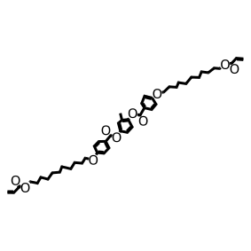 C=CC(=O)OCCCCCCCCCCCOc1ccc(C(=O)Oc2ccc(OC(=O)c3ccc(OCCCCCCCCCCCOC(=O)C=C)cc3)c(C)c2)cc1